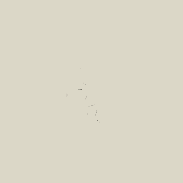 CC(=O)Nc1ccc(C=CC(=O)N(CCN(C)C)[C@H]2CC[C@H](C)CC2)cc1.Cl